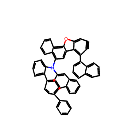 c1cc2oc3c4ccccc4c(N(c4ccc5ccccc5c4)c4ccccc4-c4ccc(-c5ccccc5)cc4)cc3c2c(-c2cccc3ccccc23)c#1